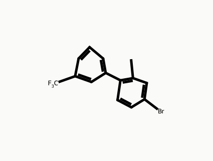 Cc1cc(Br)ccc1-c1cccc(C(F)(F)F)c1